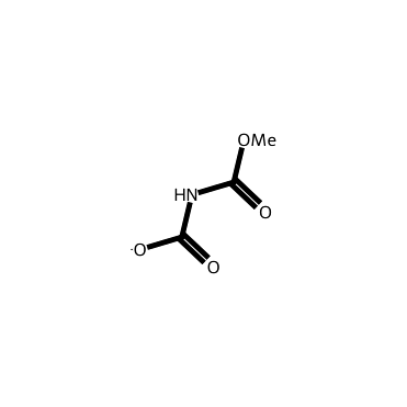 COC(=O)NC([O])=O